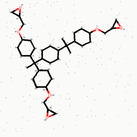 CC(C)(C1CCC(OCC2CO2)CC1)C1CCC(C(C)(C2CCC(OCC3CO3)CC2)C2CCC(OCC3CO3)CC2)CC1